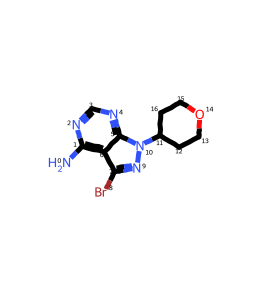 Nc1ncnc2c1c(Br)nn2C1CCOCC1